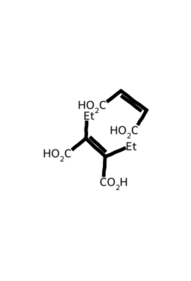 CC/C(C(=O)O)=C(\CC)C(=O)O.O=C(O)/C=C\C(=O)O